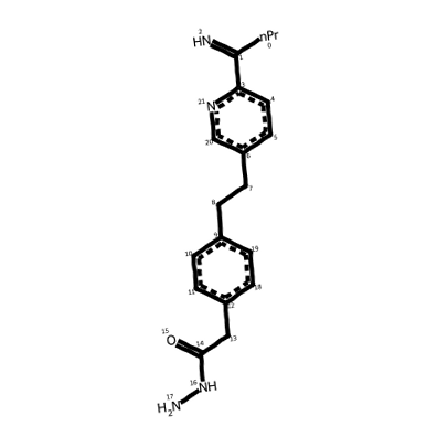 CCCC(=N)c1ccc(CCc2ccc(CC(=O)NN)cc2)cn1